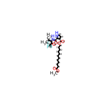 COC(=O)CCCCCCCCCCCOC(=O)[C@H]1CCN[C@@H]1C(=O)NC(C(=O)C(F)(F)F)C(C)C